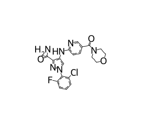 NC(=O)c1nn(-c2c(F)cccc2Cl)cc1Nc1ccc(C(=O)N2CCOCC2)cn1